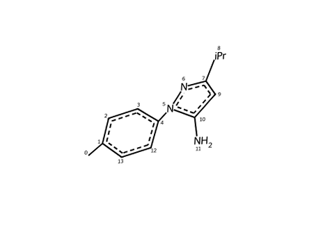 Cc1ccc(-n2nc(C(C)C)cc2N)cc1